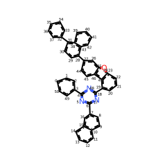 c1ccc(-c2nc(-c3ccc4ccccc4c3)nc(-c3cccc4oc5cc(-c6ccc(-c7ccccc7)c7ccccc67)ccc5c34)n2)cc1